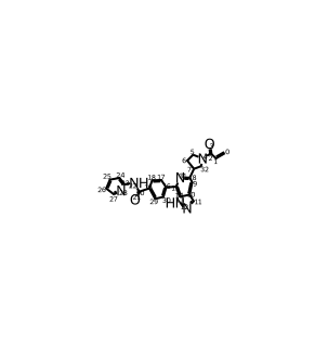 C=CC(=O)N1CCC(c2cc3cn[nH]c3c(-c3ccc(C(=O)Nc4ccccn4)cc3)n2)C1